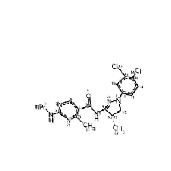 CCCNc1ncc(C(=O)NC2=NN(c3ccc(Cl)c(Cl)c3)C[C@@H]2C)c(C)n1